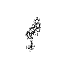 Clc1cc(Nc2ncnc3cc(C#C[C@H]4CCCN4)sc23)ccc1Oc1cccc2ccccc12